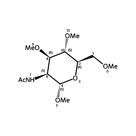 COC[C@H]1O[C@H](OC)[C@@H](NC(C)=O)[C@@H](OC)[C@@H]1OC